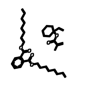 C=C(C)C(=O)OC1(CC)CCCCC1.CCCCCCCCOC(=O)c1ccccc1C(=O)OCCCCCCCC